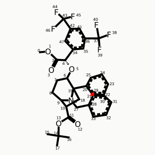 COC(=O)[C@@H](OC1CCC2C(C(=O)OC(C)(C)C)CC1(c1ccccc1)N2Cc1ccccc1)c1cc(C(F)(F)F)cc(C(F)(F)F)c1